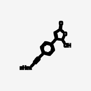 CCCCCCC#Cc1ccc(C2=CC(=O)OC2O)cc1